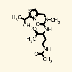 CC(=O)NCCC(NC(=O)N(C)Cc1csc(C(C)C)n1)C(C)=O